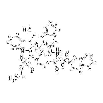 CCCCc1c(-c2ccc(C(=O)NS(=O)(=O)c3ccc4ccccc4c3)cc2C(=O)N2Cc3ccccc3C[C@H]2CN)c(C(=O)OCC)nn1-c1ccccc1